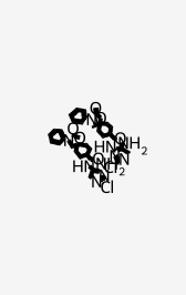 Nc1cnc(Cl)nc1NC(=O)C1CCC2(CC1)CN(c1ccccc1)C(=O)O2.Nc1nc(Cl)ncc1NC(=O)C1CCC2(CC1)CN(c1ccccc1)C(=O)O2